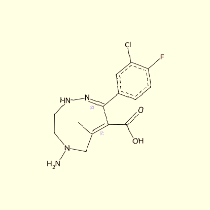 C/C1=C(C(=O)O)\C(c2ccc(F)c(Cl)c2)=N/NCCN(N)C1